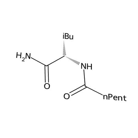 CCCCCC(=O)N[C@H](C(N)=O)[C@@H](C)CC